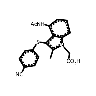 CC(=O)Nc1cccc2c1c(Sc1ccc(C#N)cc1)c(C)n2CC(=O)O